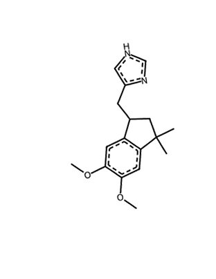 COc1cc2c(cc1OC)C(C)(C)CC2Cc1c[nH]cn1